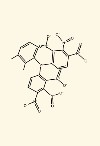 Cc1cccc(P(c2ccc([N+](=O)[O-])c([N+](=O)[O-])c2[N+](=O)[O-])c2ccc([N+](=O)[O-])c([N+](=O)[O-])c2[N+](=O)[O-])c1C